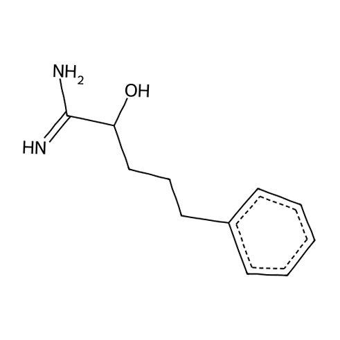 N=C(N)C(O)CCCc1ccccc1